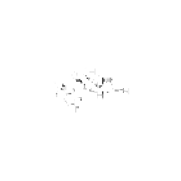 C[C@H]1CN(c2ccc(C#N)cn2)[C@@H](C)CN1C(=O)COC1(c2ccc(F)c(F)c2)CC1